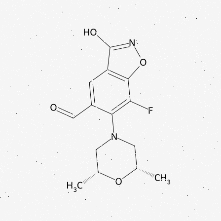 C[C@@H]1CN(c2c(C=O)cc3c(O)noc3c2F)C[C@H](C)O1